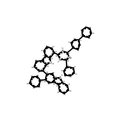 c1ccc(-c2ccc(-c3nc(-c4ccccc4)nc(-c4cccc5c4oc4c(-c6cc7sc8ccccc8c7cc6-c6ccccc6)cccc45)n3)cc2)cc1